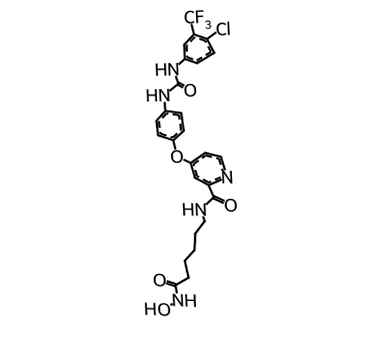 O=C(CCCCCNC(=O)c1cc(Oc2ccc(NC(=O)Nc3ccc(Cl)c(C(F)(F)F)c3)cc2)ccn1)NO